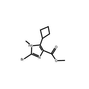 COC(=O)C1=C(C2CCC2)[SH](C)C(Br)=N1